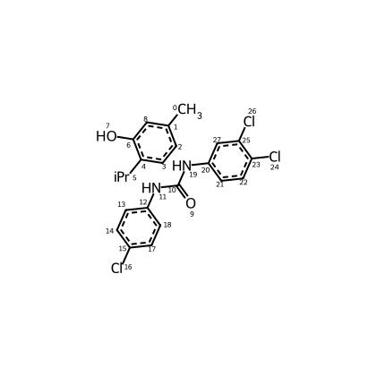 Cc1ccc(C(C)C)c(O)c1.O=C(Nc1ccc(Cl)cc1)Nc1ccc(Cl)c(Cl)c1